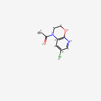 CC(C)(C)C(=O)N1CCOc2ncc(Br)cc21